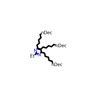 [CH2]Cc1nc(CCCCCCCCCCCCCCC)c(CCCCCCCCCCCCCCC)c(CCCCCCCCCCCCCCC)n1